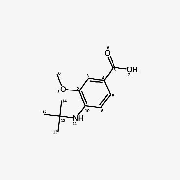 COc1cc(C(=O)O)ccc1NC(C)(C)C